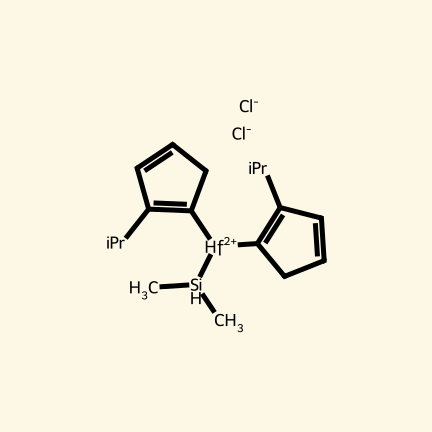 CC(C)C1=[C]([Hf+2]([C]2=C(C(C)C)C=CC2)[SiH](C)C)CC=C1.[Cl-].[Cl-]